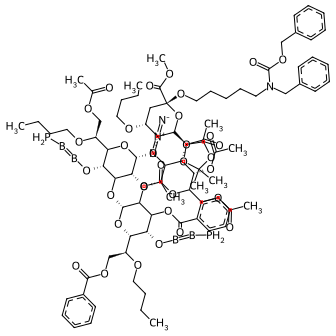 CCCCO[C@@H](COC(C)=O)C1O[C@H](O[C@H]2C([C@H]3COC(C)(C)O3)O[C@@](OCCCCCN(Cc3ccccc3)C(=O)OCc3ccccc3)(C(=O)OC)C[C@H]2OCCCC)[C@H](OC(C)=O)C(O[C@H]2O[C@@H]([C@H](COC(=O)c3ccccc3)OCCCC)[C@@H](OB=BP)C(OC(=O)c3ccccc3)C2O[C@H]2OC(COC(C)=O)[C@@H](OC(C)=O)[C@@H](OC(C)=O)C2N=[N+]=[N-])[C@@H]1OB=BP